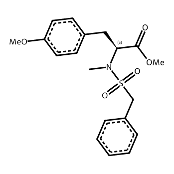 COC(=O)[C@H](Cc1ccc(OC)cc1)N(C)S(=O)(=O)Cc1ccccc1